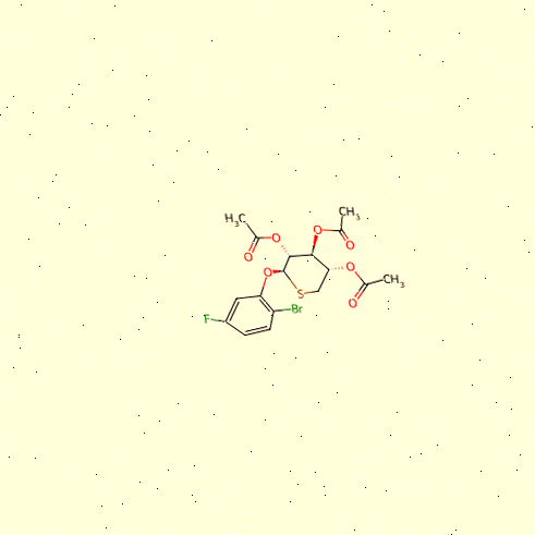 CC(=O)O[C@@H]1[C@@H](OC(C)=O)[C@H](OC(C)=O)CS[C@H]1Oc1cc(F)ccc1Br